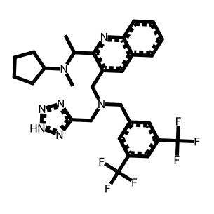 CC(c1nc2ccccc2cc1CN(Cc1cc(C(F)(F)F)cc(C(F)(F)F)c1)Cc1nn[nH]n1)N(C)C1CCCC1